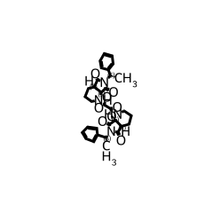 C[C@@H](c1ccccc1)N1C(=O)[C@@H]2CCCN[C@@]2(OC(=O)C(=O)O[C@@]23NCCC[C@H]2C(=O)N([C@@H](C)c2ccccc2)C3=O)C1=O